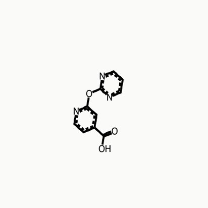 O=C(O)c1ccnc(Oc2ncccn2)c1